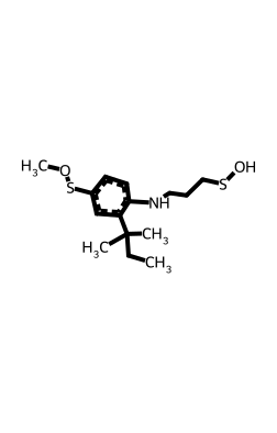 CCC(C)(C)c1cc(SOC)ccc1NCCCSO